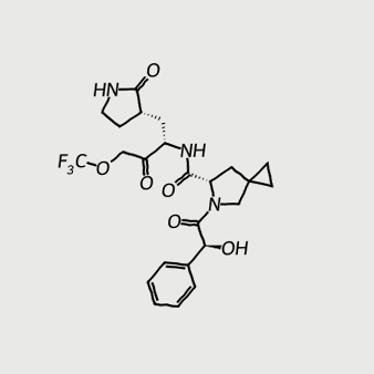 O=C1NCC[C@H]1C[C@H](NC(=O)[C@@H]1CC2(CC2)CN1C(=O)[C@@H](O)c1ccccc1)C(=O)COC(F)(F)F